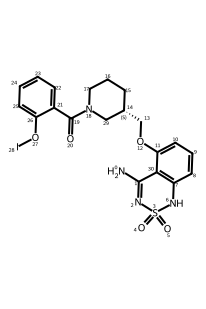 NC1=NS(=O)(=O)Nc2cccc(OC[C@H]3CCCN(C(=O)c4ccccc4OI)C3)c21